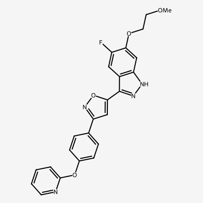 COCCOc1cc2[nH]nc(-c3cc(-c4ccc(Oc5ccccn5)cc4)no3)c2cc1F